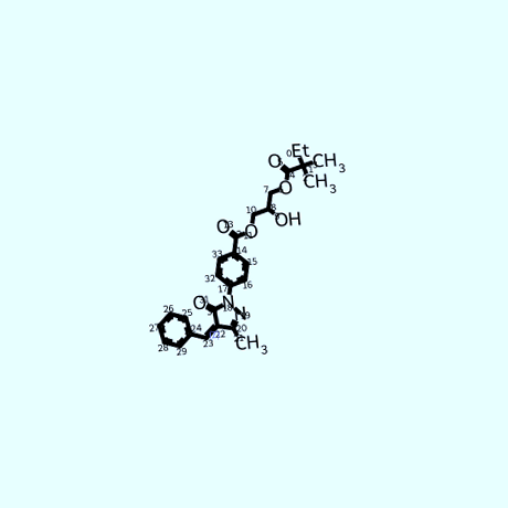 CCC(C)(C)C(=O)OCC(O)COC(=O)c1ccc(N2N=C(C)/C(=C/c3ccccc3)C2=O)cc1